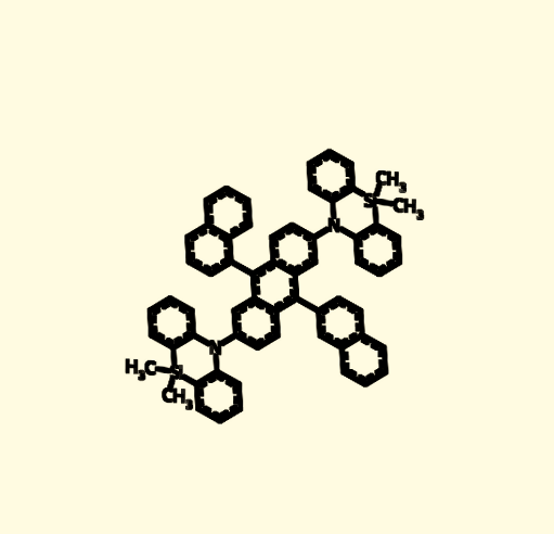 C[Si]1(C)c2ccccc2N(c2ccc3c(-c4cccc5ccccc45)c4cc(N5c6ccccc6[Si](C)(C)c6ccccc65)ccc4c(-c4ccc5ccccc5c4)c3c2)c2ccccc21